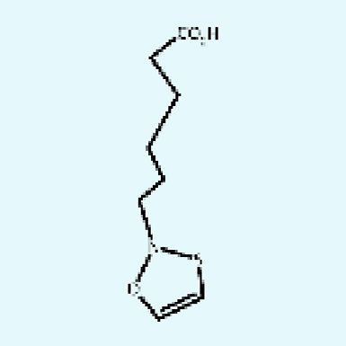 O=C(O)CCCCCN1OC=CS1